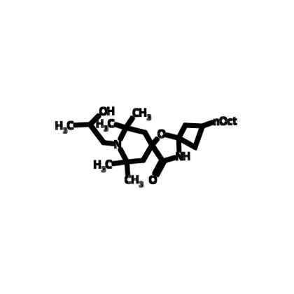 CCCCCCCCC1CC2(C1)NC(=O)C1(CC(C)(C)N(CC(C)O)C(C)(C)C1)O2